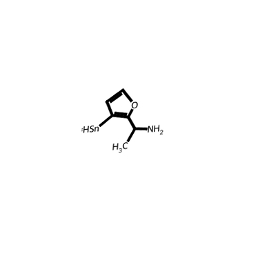 CC(N)c1occ[c]1[SnH]